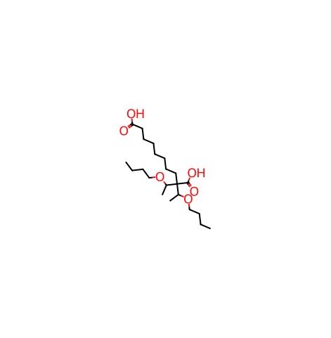 CCCCOC(C)C(CCCCCCCC(=O)O)(C(=O)O)C(C)OCCCC